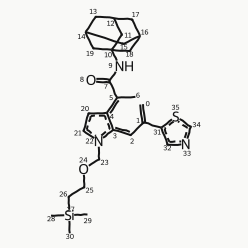 C=C(/C=c1\c(=C(/C)C(=O)NC23CC4CC(CC(C4)C2)C3)ccn1COCC[Si](C)(C)C)c1cncs1